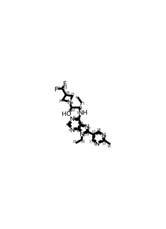 CC[C@H](Nc1ncnc2c1nc(-c1cnc(C)nc1)n2CC)C(O)N1CC(C(F)F)C1